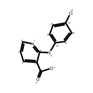 O=C(Cl)c1cccnc1Sc1ccc(Cl)cc1